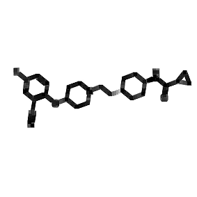 N#Cc1cc(F)ccc1OC1CCN(CC[C@H]2CC[C@H](NC(=O)C3CC3)CC2)CC1